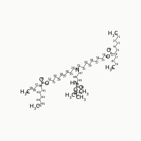 CCCCCCC(CCCC)C(=O)OCCCCCCCCCN(CCCCCCCCCOC(=O)C(CCCC)CCCCCC)CCCNC(=O)OC(C)(C)C